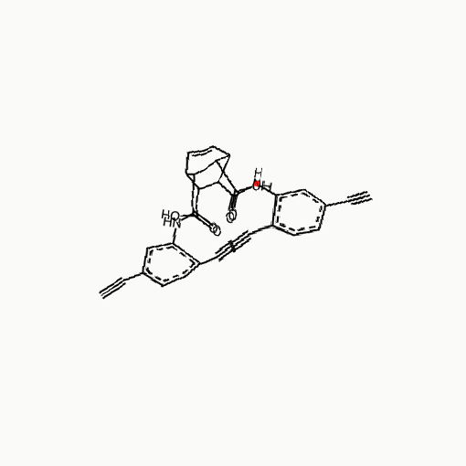 C#Cc1ccc(C#C)c(NC(=O)C2C3C=CC(C2C(=O)O)C(C(=O)Nc2cc(C#C)ccc2C#C)C3C(=O)O)c1